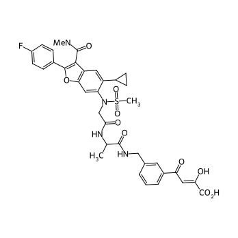 CNC(=O)c1c(-c2ccc(F)cc2)oc2cc(N(CC(=O)NC(C)C(=O)NCc3cccc(C(=O)C=C(O)C(=O)O)c3)S(C)(=O)=O)c(C3CC3)cc12